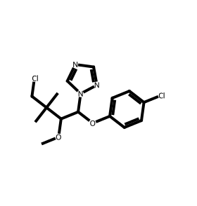 COC(C(Oc1ccc(Cl)cc1)n1cncn1)C(C)(C)CCl